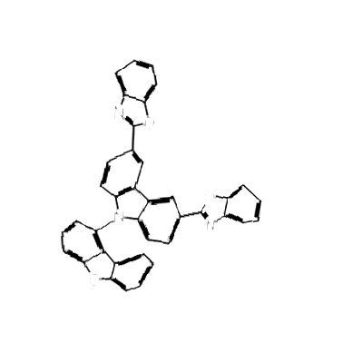 c1ccc2oc(-c3ccc4c(c3)c3cc(-c5nc6ccccc6o5)ccc3n4-c3cccc4oc5ccccc5c34)nc2c1